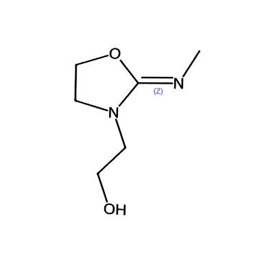 C/N=C1\OCCN1CCO